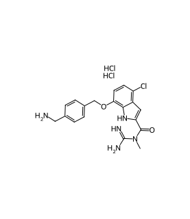 CN(C(=N)N)C(=O)c1cc2c(Cl)ccc(OCc3ccc(CN)cc3)c2[nH]1.Cl.Cl